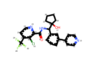 O=C(NC(c1cccc(-c2ccncc2)c1)C1(O)CCCC1)c1nccc(C(F)(F)F)c1Cl